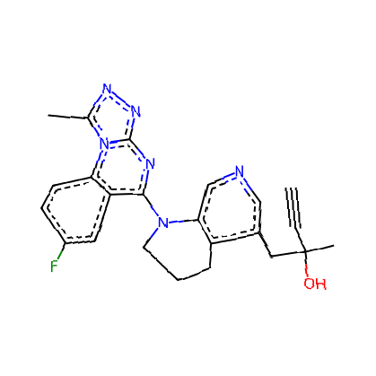 C#CC(C)(O)Cc1cncc2c1CCCN2c1nc2nnc(C)n2c2ccc(F)cc12